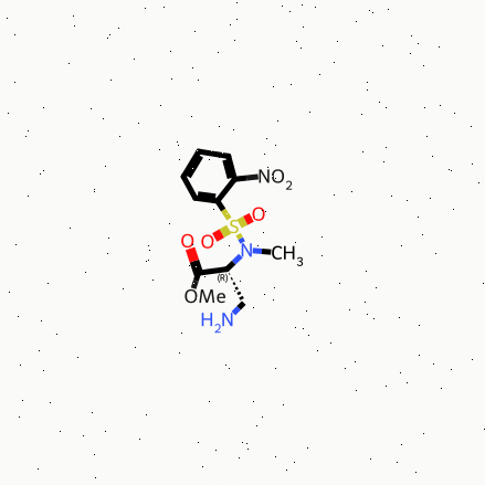 COC(=O)[C@@H](CN)N(C)S(=O)(=O)c1ccccc1[N+](=O)[O-]